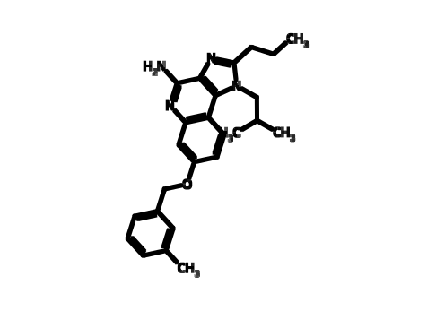 CCCc1nc2c(N)nc3cc(OCc4cccc(C)c4)ccc3c2n1CC(C)C